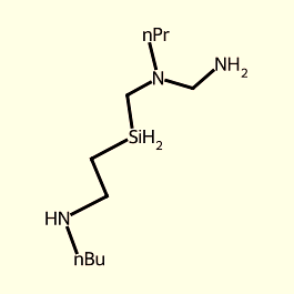 CCCCNCC[SiH2]CN(CN)CCC